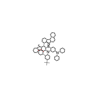 CC(C)(C)c1ccc(N2c3cc(N(c4ccccc4)c4ccccc4)ccc3B3c4c2cc2c(sc5ccccc52)c4-c2cccc4c5c6ccccc6ccc5n3c24)c(-c2ccccc2)c1